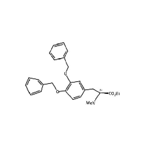 CCOC(=O)[C@H](Cc1ccc(OCc2ccccc2)c(OCc2ccccc2)c1)NC